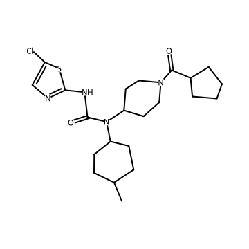 CC1CCC(N(C(=O)Nc2ncc(Cl)s2)C2CCN(C(=O)C3CCCC3)CC2)CC1